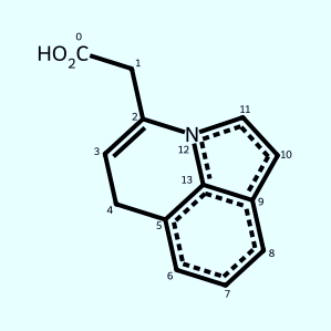 O=C(O)CC1=CCc2cccc3ccn1c23